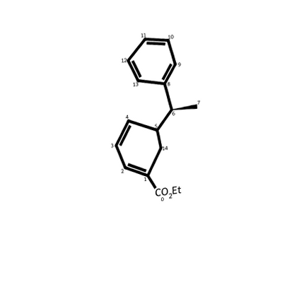 CCOC(=O)C1=CC=CC([C@H](C)c2ccccc2)C1